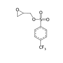 O=S(=O)(OCC1CO1)c1ccc(C(F)(F)F)cc1